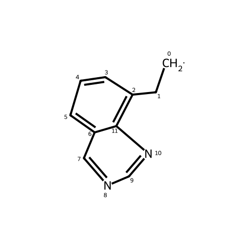 [CH2]Cc1cccc2cncnc12